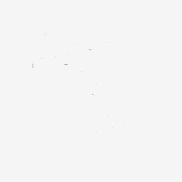 C=Cc1ccc(N2c3ccc(-c4ccc(N(c5ccc(OC)cc5)c5ccc6c(c5)C(c5ccccc5)(c5ccccc5)c5ccccc5-6)cc4)cc3-c3cccc4cccc2c34)cc1